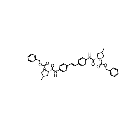 C[C@@H]1C[C@@H](C(=O)Nc2ccc(/C=C/c3ccc(NC(=O)[C@@H]4C[C@@H](C)CN4C(=O)OCc4ccccc4)cc3)cc2)N(C(=O)OCc2ccccc2)C1